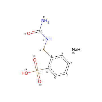 NC(=O)NSc1ccccc1S(=O)(=O)O.[NaH]